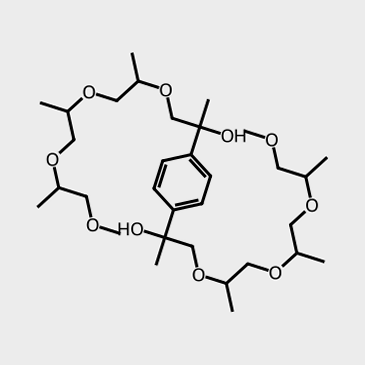 COCC(C)OCC(C)OCC(C)OCC(C)(O)c1ccc(C(C)(O)COC(C)COC(C)COC(C)COC)cc1